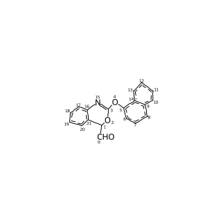 O=CC1OC(Oc2cccc3ccccc23)=Nc2ccccc21